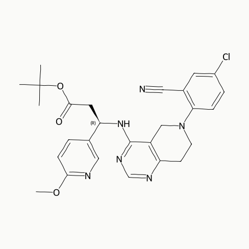 COc1ccc([C@@H](CC(=O)OC(C)(C)C)Nc2ncnc3c2CN(c2ccc(Cl)cc2C#N)CC3)cn1